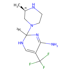 [2H]C1(N2CCN[C@H](C)C2)N=C(N)C(C(F)(F)F)=CN1